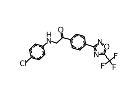 O=C(CNc1ccc(Cl)cc1)c1ccc(-c2noc(C(F)(F)F)n2)cc1